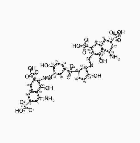 Nc1cc(S(=O)(=O)O)cc2cc(S(=O)(=O)O)c(N=Nc3cc(S(=O)(=O)c4ccc(O)c(N=Nc5c(S(=O)(=O)O)cc6cc(S(=O)(=O)O)cc(N)c6c5O)c4)ccc3O)c(O)c12